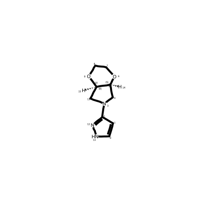 c1cc(N2C[C@@H]3OCCO[C@@H]3C2)n[nH]1